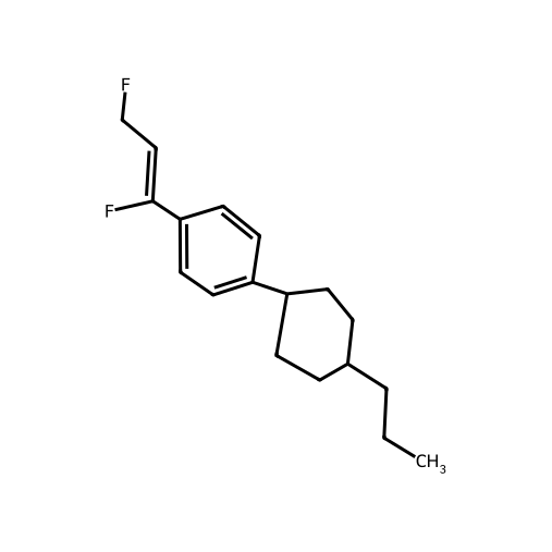 CCCC1CCC(c2ccc(/C(F)=C/CF)cc2)CC1